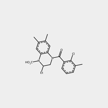 CCC1CN(C(=O)c2cccc(C)c2Cl)c2cc(C)c(C)cc2N1C(=O)O